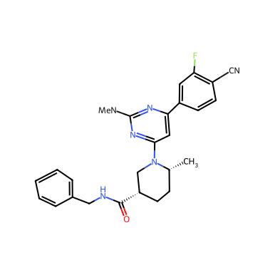 CNc1nc(-c2ccc(C#N)c(F)c2)cc(N2C[C@@H](C(=O)NCc3ccccc3)CC[C@H]2C)n1